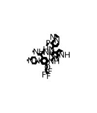 CN/C=C(\C=N)c1cc(Nc2nc(Nc3ccn4ccnc4c3P(C)C)c3cc[nH]c3n2)c(OCC(F)(F)F)cc1N1CCN(C)CC1